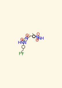 Cc1cc(N2C(=O)CNC2=O)ccc1CC[S+]([O-])N1CCC2(CC1)N=C(C1CCC(CCC(F)F)CC1)NC2=O